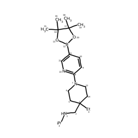 CCC1(CNC(C)C)CCN(c2ccc(B3OC(C)(C)C(C)(C)O3)cn2)CC1